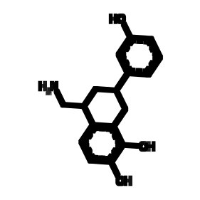 NCC1CC(c2cccc(O)c2)Cc2c1ccc(O)c2O